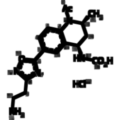 CC(=O)N1c2ccc(-c3nc(CCN)no3)cc2[C@H](NC(=O)O)C[C@@H]1C.Cl